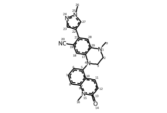 CN1CCN(c2cccc3c2ccc(=O)n3C)c2cc(C#N)c(-c3cnn(C)c3)cc21